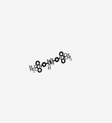 CC1(C)C2C=CC=CC2N(c2ccc(C3=NC4NC(c5ccc(N6C7C=CC=CC7C(C)(C)C7C=CC=CC76)cc5)=NC4=N3)cc2)C2C=CC=CC21